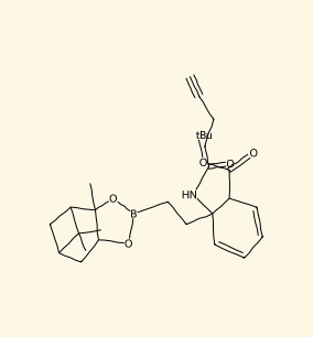 C#CCCC(=O)NC1(CCB2OC3CC4CC(C4(C)C)C3(C)O2)C=CC=CC1C(=O)OC(C)(C)C